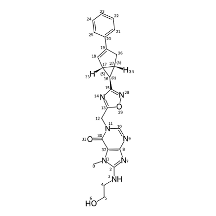 Cn1c(NCCO)nc2ncn(Cc3nc([C@H]4[C@@H]5C=C(c6ccccc6)C[C@@H]54)no3)c(=O)c21